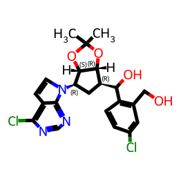 CC1(C)O[C@@H]2[C@H](O1)[C@@H](C(O)c1ccc(Cl)cc1CO)C[C@H]2n1ccc2c(Cl)ncnc21